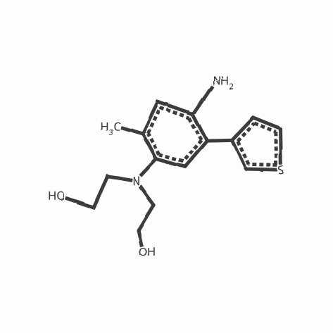 Cc1cc(N)c(-c2ccsc2)cc1N(CCO)CCO